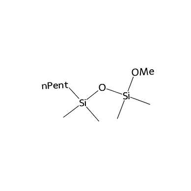 CCCCC[Si](C)(C)O[Si](C)(C)OC